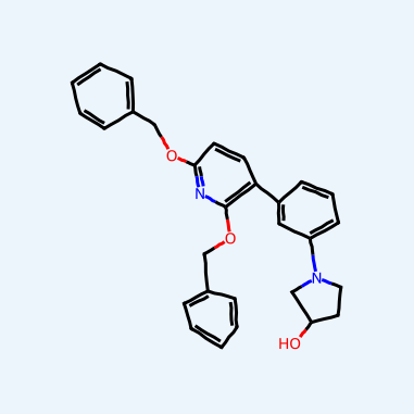 OC1CCN(c2cccc(-c3ccc(OCc4ccccc4)nc3OCc3ccccc3)c2)C1